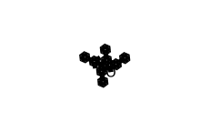 Cc1cc(-c2ccccc2)cc(C)c1B1c2ccc(-c3ccccc3)cc2-n2c(=O)c3ccc(-c4ccccc4)cc3c3cc(-c4ccccc4)cc1c32